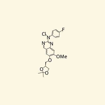 COc1cc2nc(N(Cl)c3ccc(F)cc3)ncc2cc1OC[C@H]1COC(C)(C)O1